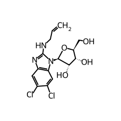 C=CCNc1nc2cc(Cl)c(Cl)cc2n1[C@H]1O[C@@H](CO)[C@H](O)[C@@H]1O